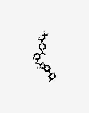 Cc1cc(-c2ccc3nc(Nc4cc(C(C)N5CCN(C(=O)CC(F)(F)F)CC5)ccn4)[nH]c3c2)ncn1